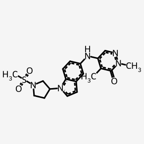 Cc1c(Nc2ccc3c(ccn3C3CCN(S(C)(=O)=O)C3)c2)cnn(C)c1=O